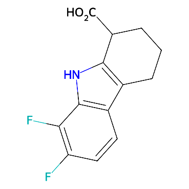 O=C(O)C1CCCc2c1[nH]c1c(F)c(F)ccc21